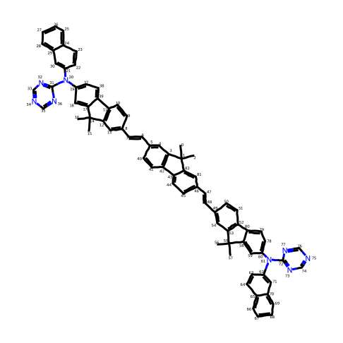 CC1(C)c2cc(/C=C/c3ccc4c(c3)C(C)(C)c3cc(N(c5ccc6ccccc6c5)c5ncncn5)ccc3-4)ccc2-c2ccc(/C=C/c3ccc4c(c3)C(C)(C)c3cc(N(c5ccc6ccccc6c5)c5ncncn5)ccc3-4)cc21